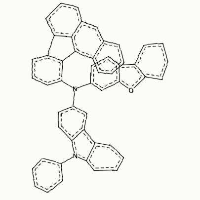 c1ccc(-n2c3ccccc3c3cc(N(c4ccc5c(c4)oc4ccccc45)c4cccc5c4-c4c6ccccc6cc6cccc-5c46)ccc32)cc1